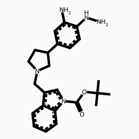 CC(C)(C)OC(=O)n1cc(CN2CCC(c3ccc(NN)c(N)c3)C2)c2ccccc21